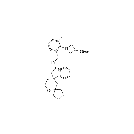 COC1CN(c2c(F)cccc2CNCCC2(c3ccccn3)CCOC3(CCCC3)C2)C1